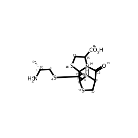 C[C@@H](N)CSC1CC23NC(CS2)C(=O)N2C(C(=O)O)CSC23C1